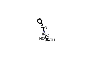 CC(C)(CO)[C@@H](O)C(=O)N/C=C/C(=O)OCc1ccccc1